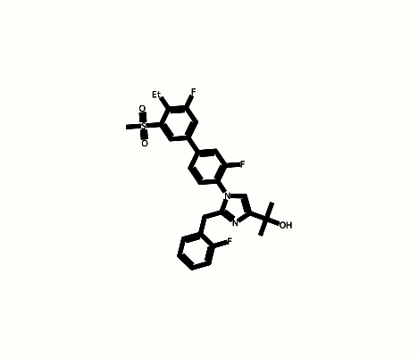 CCc1c(F)cc(-c2ccc(-n3cc(C(C)(C)O)nc3Cc3ccccc3F)c(F)c2)cc1S(C)(=O)=O